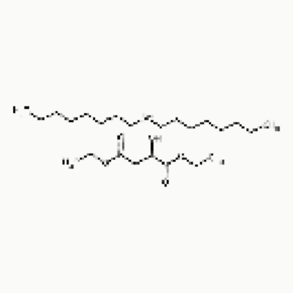 CCCCCCC[CH2][Sn][CH2]CCCCCCC.CCOC(=O)CC(O)C(=O)OCC